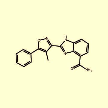 Cc1c(-c2nc3c(C(N)=O)cccc3[nH]2)noc1-c1ccccc1